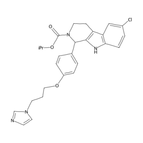 CC(C)OC(=O)N1CCc2c([nH]c3ccc(Cl)cc23)C1c1ccc(OCCCn2ccnc2)cc1